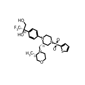 C[C@H]1COCCN1C[C@H]1CN(S(=O)(=O)c2cccs2)CCN1c1ccc([C@@](O)(CO)C(F)(F)F)cc1